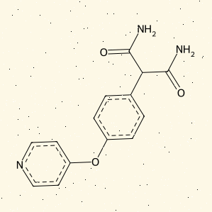 NC(=O)C(C(N)=O)c1ccc(Oc2ccncc2)cc1